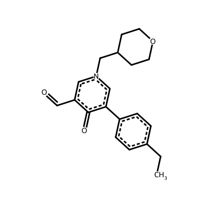 CCc1ccc(-c2cn(CC3CCOCC3)cc(C=O)c2=O)cc1